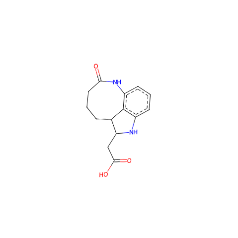 O=C(O)CC1Nc2cccc3c2C1CCCC(=O)N3